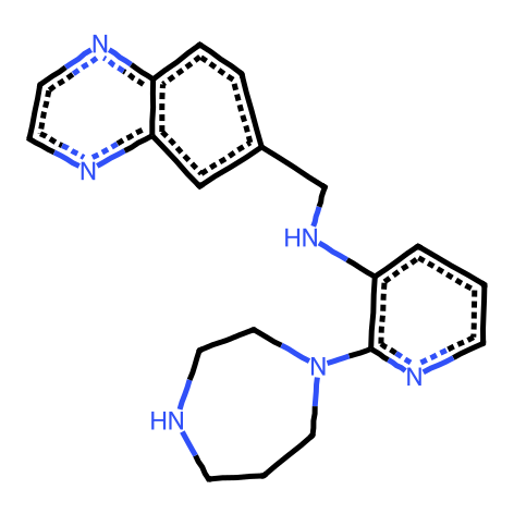 c1cnc(N2CCCNCC2)c(NCc2ccc3nccnc3c2)c1